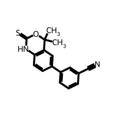 CC1(C)OC(=S)Nc2ccc(-c3cccc(C#N)c3)cc21